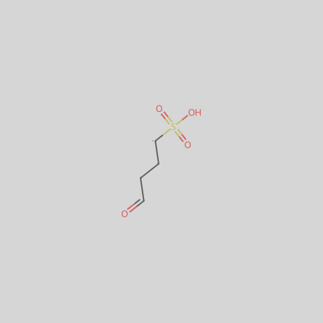 O=CCC[CH]S(=O)(=O)O